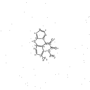 O=C(OP)C(=O)N1c2ccccc2Sc2ccc(C(F)(F)F)cc21